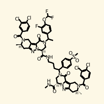 CNC(=O)[C@@H]1CN(C(CCCNC(=O)[C@@H]2CN(C(C)c3ccc(OC(F)F)c(F)c3)C(=O)c3c4c(nn32)C[C@@H](C)N(C(=O)c2ccc(Cl)c(Cl)c2)C4)c2ccc(S(C)(=O)=O)cc2)C(=O)c2c3c(nn21)C[C@@H](C)N(C(=O)c1ccc(Cl)c(Cl)c1)C3